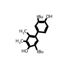 Cc1c(-c2ccc(O)c(C(C)(C)C)c2)cc(C(C)(C)C)c(O)c1C